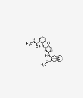 CNC(=O)c1ccccc1Nc1nc(Nc2ccc3c(c2)C2CCC3CN(CCOC)C2)ncc1Cl